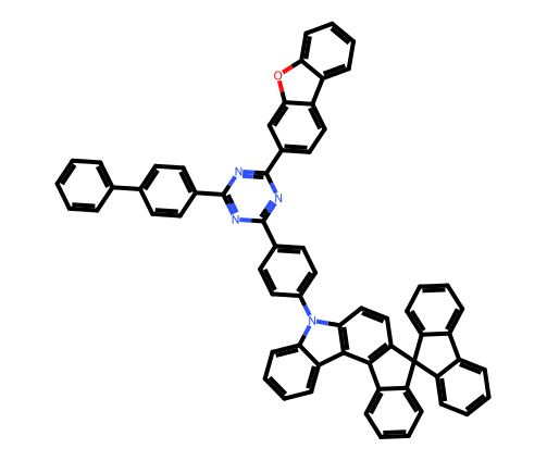 c1ccc(-c2ccc(-c3nc(-c4ccc(-n5c6ccccc6c6c7c(ccc65)C5(c6ccccc6-c6ccccc65)c5ccccc5-7)cc4)nc(-c4ccc5c(c4)oc4ccccc45)n3)cc2)cc1